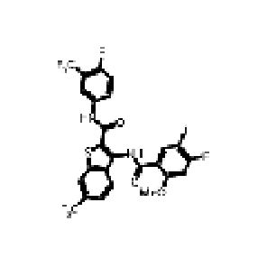 COc1cc(F)c(I)cc1C(=O)Nc1c(C(=O)Nc2ccc(F)c(C(F)(F)F)c2)sc2cc(C(F)(F)F)ccc12